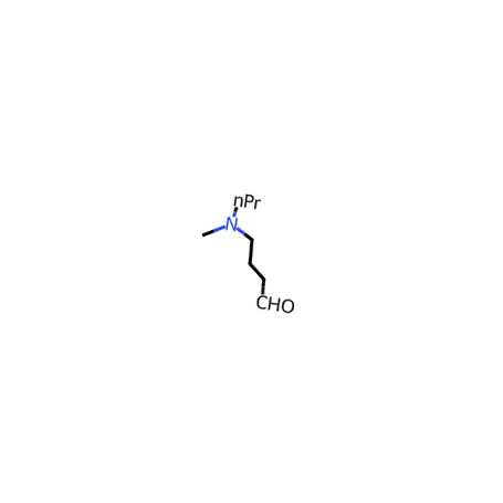 CCCN(C)CCCC=O